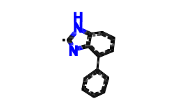 [c]1nc2c(-c3ccccc3)cccc2[nH]1